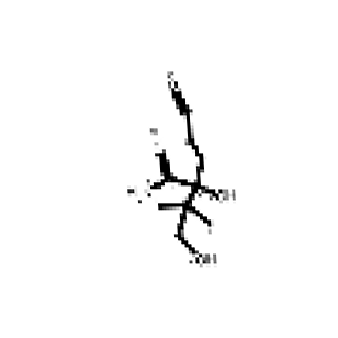 CC(C)(CO)C(O)(CCC=O)C(N)=O